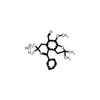 COc1c(C=O)c2c(c3c1OC(C)(C)C3)C(c1ccccc1)=NC(C)(C)C2.Cl